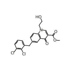 COC(=O)c1cn(CCO)c2ccc(Cc3cccc(Cl)c3Cl)cc2c1=O